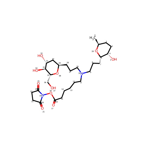 C[C@H]1CC[C@H](O)[C@H](CCCN(CCCCCC(=O)ON2C(=O)CCC2=O)CCC[C@@H]2C[C@@H](O)[C@H](O)[C@@H](CO)O2)O1